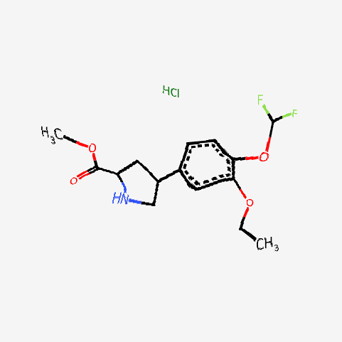 CCOc1cc(C2CNC(C(=O)OC)C2)ccc1OC(F)F.Cl